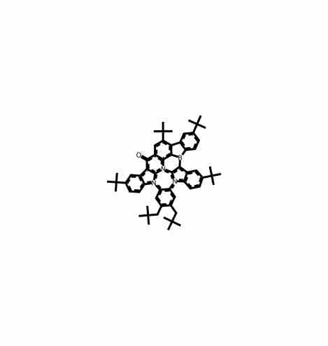 CC(C)(C)Cc1cc2c(cc1CC(C)(C)C)n1c3ccc(C(C)(C)C)cc3c3c(=O)c4cc(C(C)(C)C)c5c6c4n(c4c(c7cc(C(C)(C)C)ccc7n24)B6c2ccc(C(C)(C)C)cc2-5)c31